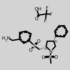 CS(=O)(=O)N1C[C@@H](c2ccccc2)C[C@H]1CS(=O)(=O)c1cccc(CN)c1.O=C(O)C(F)(F)F